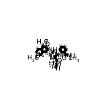 [2H]C([2H])([2H])NC(=O)c1nnc(Nc2cc3c(cc2OC)CCN(C)C3)nc1Nc1ccccc1C(=O)NC